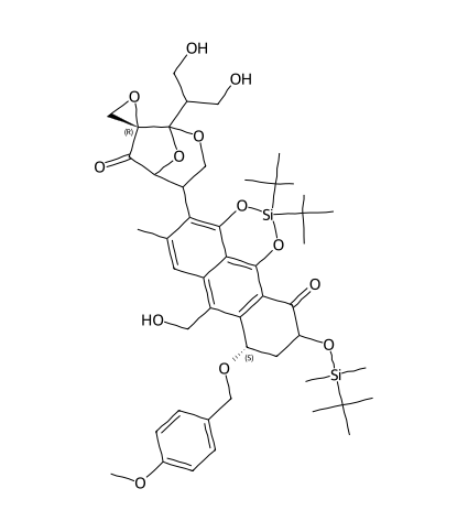 COc1ccc(CO[C@H]2CC(O[Si](C)(C)C(C)(C)C)C(=O)c3c2c(CO)c2cc(C)c(C4COC5(C(CO)CO)OC4C(=O)[C@@]54CO4)c4c2c3O[Si](C(C)(C)C)(C(C)(C)C)O4)cc1